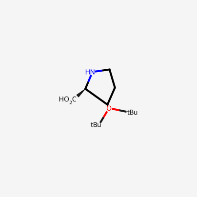 CC(C)(C)OC(C)(C)C.O=C(O)[C@@H]1CCCN1